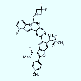 CNC(=O)c1c(-c2ccc(C)cc2)oc2cc(N(C)S(C)(=O)=O)c(-c3cc4c(cn3)nc(CN3CC(F)(F)C3)n3c5cccc(F)c5cc43)cc12